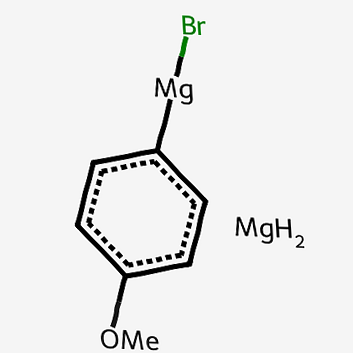 COc1cc[c]([Mg][Br])cc1.[MgH2]